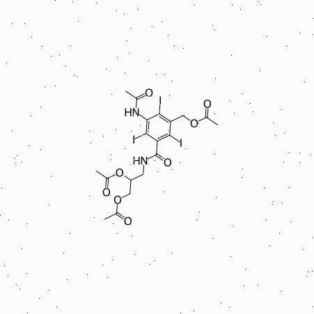 CC(=O)Nc1c(I)c(COC(C)=O)c(I)c(C(=O)NCC(COC(C)=O)OC(C)=O)c1I